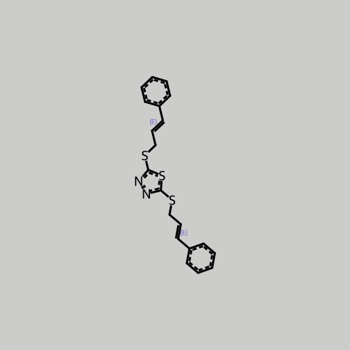 C(=C\c1ccccc1)/CSc1nnc(SC/C=C/c2ccccc2)s1